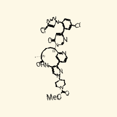 COC(=O)N1CCC(n2cc3c(n2)-c2ccnc(c2)[C@@H](n2cnc(-c4cc(Cl)ccc4-n4cc(Cl)nn4)cc2=O)CCC[C@@H](C)C(=O)N3)CC1